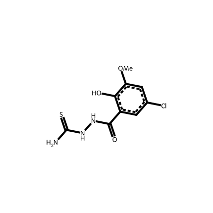 COc1cc(Cl)cc(C(=O)NNC(N)=S)c1O